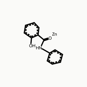 O=C(Nc1ccccc1)c1ccccc1O.[Zn]